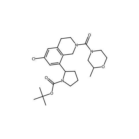 CC1CN(C(=O)N2CCc3cc(Cl)cc(C4CCCN4C(=O)OC(C)(C)C)c3C2)CCO1